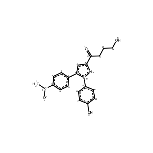 C[S+]([O-])c1ccc(-c2cc(C(=O)CCCO)nn2-c2ccc(C#N)cc2)cc1